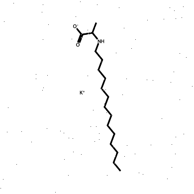 CCCCCCCCCCCCCCNC(C)C(=O)[O-].[K+]